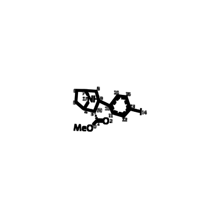 COC(=O)[C@@H]1C2CCC(CC1c1ccc(I)cc1)N2